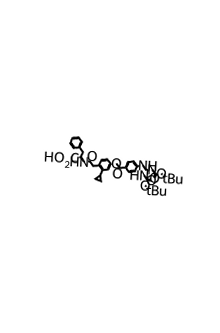 CC(C)(C)OC(=O)/N=C(\NC(=O)OC(C)(C)C)Nc1ccc(C(=O)Oc2ccc(CC(=O)N[C@@H](Cc3ccccc3)C(=O)O)c(C3CC3)c2)cc1